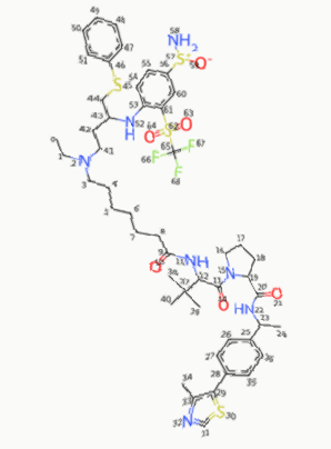 CCN(CCCCCCC(=O)NC(C(=O)N1CCCC1C(=O)NC(C)c1ccc(-c2scnc2C)cc1)C(C)(C)C)CCC(CSc1ccccc1)Nc1ccc([S+](N)[O-])cc1S(=O)(=O)C(F)(F)F